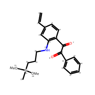 C=Cc1ccc(C(=O)C(=O)c2ccccc2)c(NCCC[Si](C)(OC)OC)c1